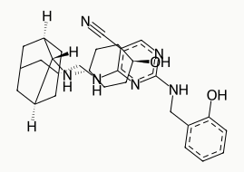 N#Cc1cnc(NCc2ccccc2O)nc1NC[C@@]12CC3C[C@H](C1)[C@@H](N[C@H]1CC[C@H](O)CC1)[C@@H](C3)C2